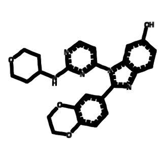 Oc1ccc2nc(-c3ccc4c(c3)OCCO4)n(-c3ccnc(NC4CCOCC4)n3)c2c1